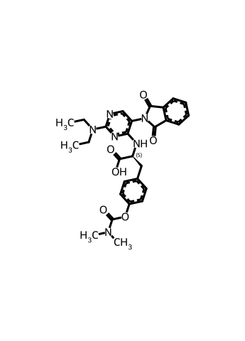 CCN(CC)c1ncc(N2C(=O)c3ccccc3C2=O)c(N[C@@H](Cc2ccc(OC(=O)N(C)C)cc2)C(=O)O)n1